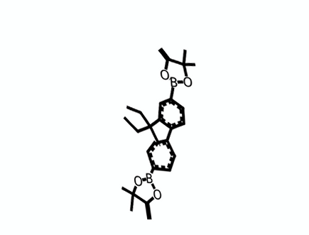 C=C1OB(c2ccc3c(c2)C(CC)(CC)c2cc(B4OC(=C)C(C)(C)O4)ccc2-3)OC1(C)C